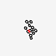 c1ccc(-c2ccccc2-c2cccc(N(c3ccccc3-c3ccc(-c4ccc5ccccc5c4)cc3)c3cccc4c3-c3ccccc3C4(c3ccccc3)c3ccccc3)c2)cc1